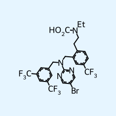 CCN(CCc1ccc(C(F)(F)F)cc1CN(Cc1cc(C(F)(F)F)cc(C(F)(F)F)c1)c1ncc(Br)cn1)C(=O)O